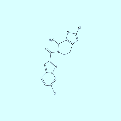 CC1c2oc(Cl)cc2CCN1C(=O)c1cc2ccc(Cl)cn2n1